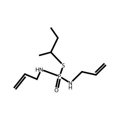 C=CCNP(=O)(NCC=C)SC(C)CC